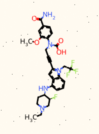 CCN1CC[C@@H](Nc2cccc3c2cc(C#CCN(C(=O)O)c2ccc(C(N)=O)cc2OC)n3CC(F)(F)F)[C@@H](F)C1